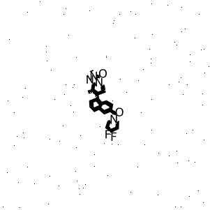 Cc1c(-c2cccc3cc(C(=O)N4CCC(F)(F)CC4)ccc23)ccn2c(=O)n(C)nc12